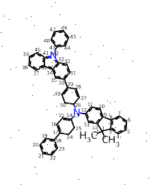 CC1(C)c2ccccc2-c2ccc(N(C3=CC=C(c4ccccc4)CC3)C3C=CC(c4ccc5c(c4)c4ccccc4n5-c4ccccc4)=CC3)cc21